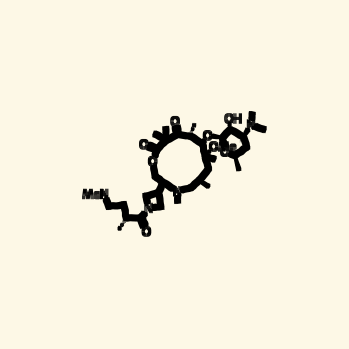 CNCC[C@@H](C)C(=O)N1CC(C2COC(=O)C(C)(C)C(=O)[C@H](C)[C@@H](O[C@@H]3O[C@H](C)C[C@H](N(C)C)[C@H]3O)[C@](C)(OC)C[C@@H](C)CN2C)C1